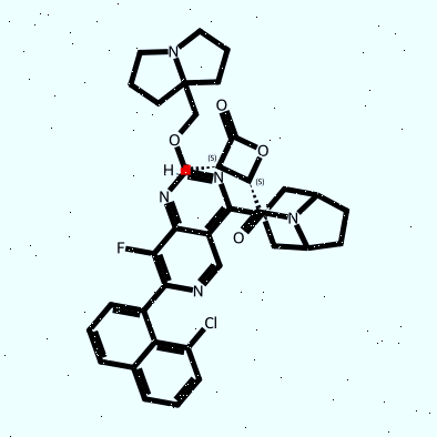 C[C@@H]1C(=O)O[C@@H]1C(=O)N1C2CCC1CN(c1nc(OCC34CCCN3CCC4)nc3c(F)c(-c4cccc5cccc(Cl)c45)ncc13)C2